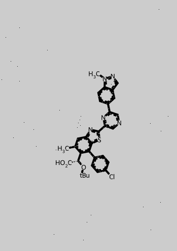 Cc1cc2nc(-c3cncc(-c4ccc5c(cnn5C)c4)n3)sc2c(-c2ccc(Cl)cc2)c1[C@H](OC(C)(C)C)C(=O)O